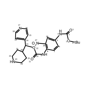 CC(C)(C)OC(=O)Nc1ccc(NC(=O)OC(c2ccncc2)C2CCNCC2)c([N+](=O)[O-])c1